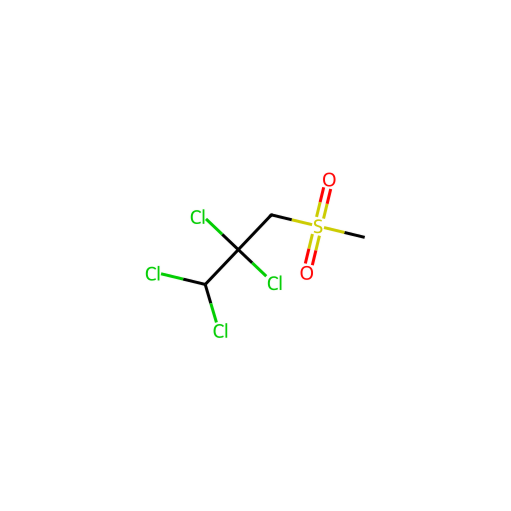 CS(=O)(=O)CC(Cl)(Cl)C(Cl)Cl